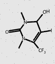 CN1C(=O)N(C)C(O)C(I)=C1C(F)(F)F